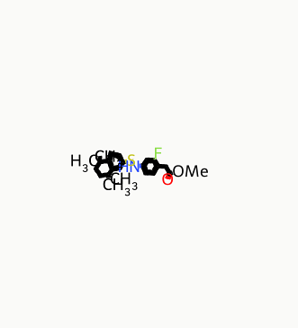 COC(=O)Cc1ccc(NSc2ccc3c(c2)C(C)(C)CCC3(C)C)cc1F